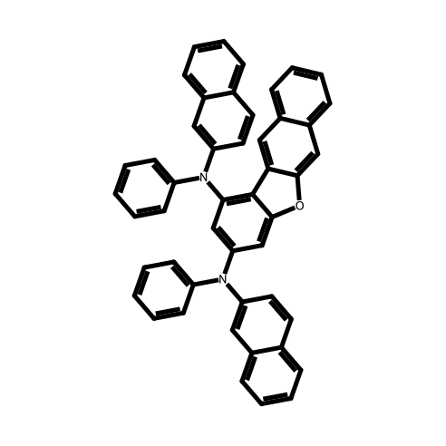 c1ccc(N(c2ccc3ccccc3c2)c2cc(N(c3ccccc3)c3ccc4ccccc4c3)c3c(c2)oc2cc4ccccc4cc23)cc1